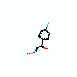 O=C(/C=N/O)c1ccc(F)cc1